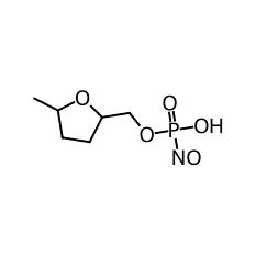 CC1CCC(COP(=O)(O)N=O)O1